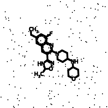 CCc1cc(F)c2nc(N3CCC(NC4CCOCC4)CC3)c(C3=NOC(C)N3)cc2c1